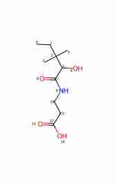 CCC(C)(C)C(O)C(=O)NCCC(=O)O